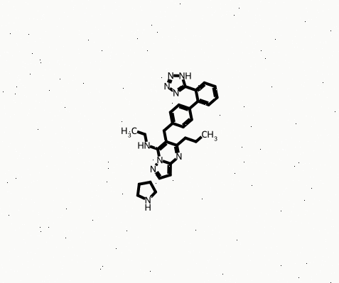 C1CCNC1.CCCc1nc2ccnn2c(NCC)c1Cc1ccc(-c2ccccc2-c2nnn[nH]2)cc1